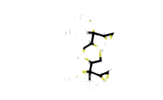 CCCSC(C1CS1)(C1CSC(C(SCCC)(C2CS2)S(=O)(=O)O)CS1)S(=O)(=O)O